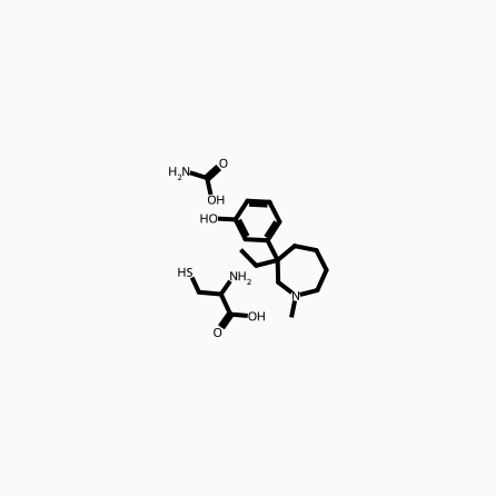 CCC1(c2cccc(O)c2)CCCCN(C)C1.NC(=O)O.NC(CS)C(=O)O